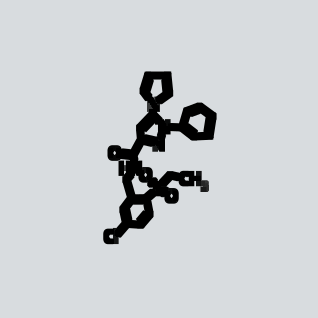 CCS(=O)(=O)c1ccc(Cl)cc1CNC(=O)c1cc(-n2cccc2)n(-c2ccccc2)n1